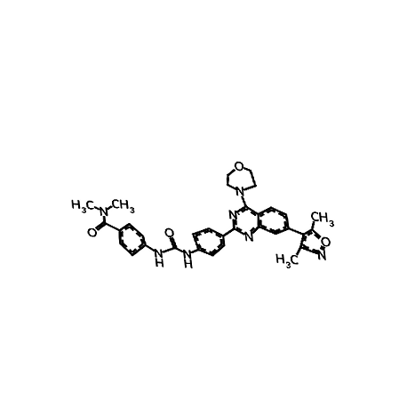 Cc1noc(C)c1-c1ccc2c(N3CCOCC3)nc(-c3ccc(NC(=O)Nc4ccc(C(=O)N(C)C)cc4)cc3)nc2c1